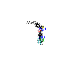 COc1ccc(-c2csc(NC(=O)CCc3ccc(NCC(F)(F)Cl)cc3)n2)cc1